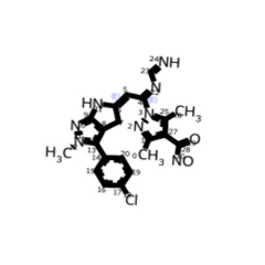 Cc1nn(C(/C=C2\Cc3c(nn(C)c3-c3ccc(Cl)cc3)N2)=N/C=N)c(C)c1C(=O)N=O